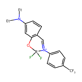 CCN(CC)c1ccc2c(c1)O[B-](F)(F)[N+](c1ccc(C(F)(F)F)cc1)=C2